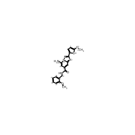 COc1ccc(-c2nc3cc(C(=O)NCc4ccccc4OC)cc(N)n3n2)s1